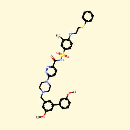 CCOc1cccc(-c2cc(CN3CCN(c4ccc(C(=O)NS(=O)(=O)c5ccc(NCCSc6ccccc6)c(C(F)(F)F)c5)nn4)CC3)cc(OCC)c2)c1